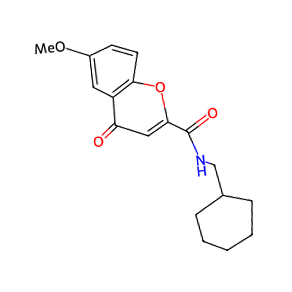 COc1ccc2oc(C(=O)NCC3CCCCC3)cc(=O)c2c1